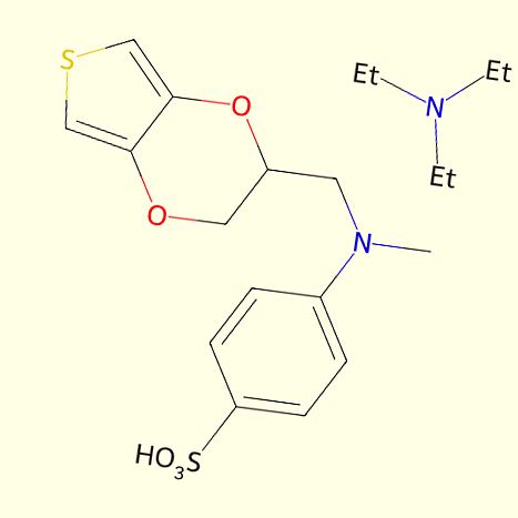 CCN(CC)CC.CN(CC1COc2cscc2O1)c1ccc(S(=O)(=O)O)cc1